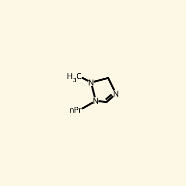 CCCN1C=NCN1C